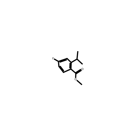 COC(=O)c1ccc(F)cc1C(C)C